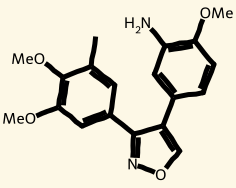 COc1ccc(-c2conc2-c2cc(C)c(OC)c(OC)c2)cc1N